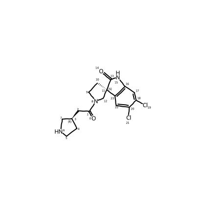 O=C(C[C@H]1CCNC1)N1CC[C@]2(C1)C(=O)Nc1cc(Cl)c(Cl)cc12